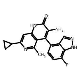 Cc1nc(C2CC2)cc2[nH]c(=O)c(N)c(-c3ccc(F)c4[nH]ncc34)c12